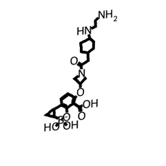 NCCNC1CCC(CC(=O)N2CC(Oc3ccc4c(c3C(=O)O)O[B-](O)(O)C3CC43)C2)CC1